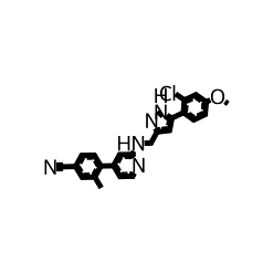 COc1ccc(-c2cc(CNc3cc(-c4ccc(C#N)cc4C)ccn3)n[nH]2)c(Cl)c1